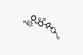 CC(C)c1ccccc1Sc1ccc(-c2csc(N3CCN(CC=O)CC3)n2)c(Cl)c1Cl